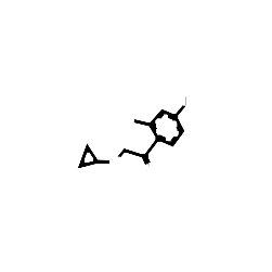 O=C(CSC1CC1)c1ccc(F)cc1F